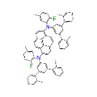 Cc1ccc(F)c(N(c2cc(-c3ccccc3C)cc(-c3ccccc3C)c2)c2ccc3ccc4c(N(c5cc(-c6ccccc6C)cc(-c6ccccc6C)c5)c5cc(C)ccc5F)ccc5ccc2c3c54)c1